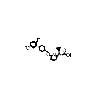 COc1ccc(F)c([C@H]2CC[C@H](COc3cccc([C@@H](CC(=O)O)C4CC4)n3)CC2)c1